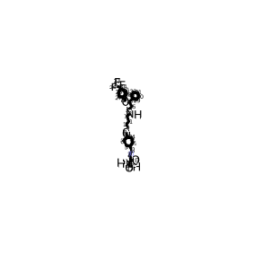 O=C(/C=C/c1ccc(OCCCCNCCC(Oc2ccc(C(F)(F)F)cc2)c2ccccc2)cc1)NO